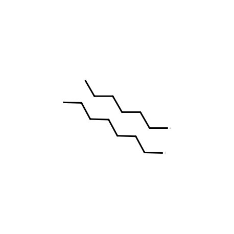 [CH2]CCCCCC.[CH2]CCCCCCC